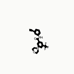 C#Cc1cccc(NC(=O)c2cc(N3CCOCC3)cc(C(F)(F)F)c2)c1